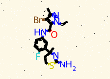 CCn1nc(C)c(Br)c1C(=O)Nc1ccc(F)c(C2(C)CCSC(N)=N2)c1